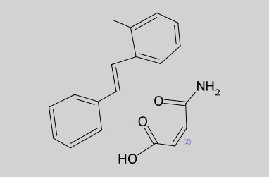 Cc1ccccc1C=Cc1ccccc1.NC(=O)/C=C\C(=O)O